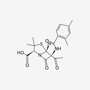 CC(=O)[C@]1(NC(=O)c2ccc(C)cc2C)C(=O)N2[C@@H](C(=O)O)C(C)(C)S[C@@H]21